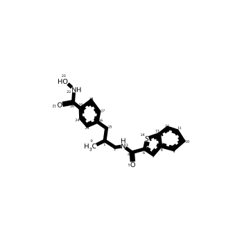 CC(CNC(=O)c1cc2ccccc2s1)Cc1ccc(C(=O)NO)cc1